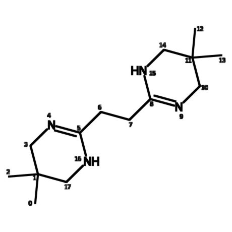 CC1(C)CN=C(CCC2=NCC(C)(C)CN2)NC1